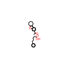 O=C(C[C@@H](CCCc1ccccc1)C(=O)O)c1ccc2c3c(oc2c1)CCCCC3